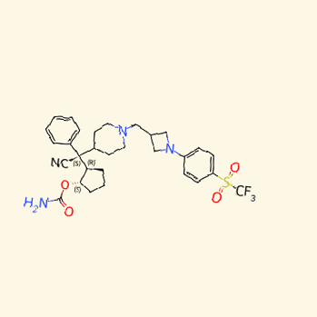 N#C[C@@](c1ccccc1)(C1CCN(CC2CN(c3ccc(S(=O)(=O)C(F)(F)F)cc3)C2)CC1)[C@H]1CCC[C@@H]1OC(N)=O